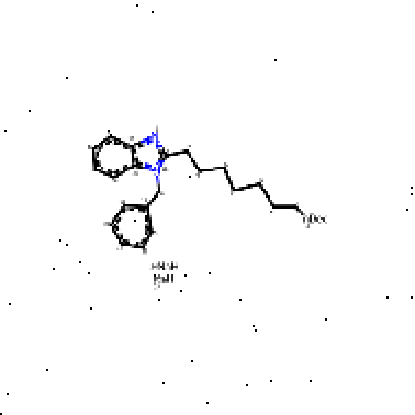 CCCCCCCCCCCCCCCCCc1nc2ccccc2n1Cc1ccccc1.[NaH].[NaH]